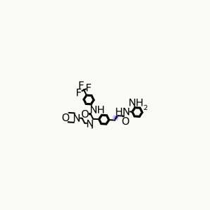 CN(CCN1CCOCC1)C(C(=O)Nc1ccc(C(F)(F)F)cc1)c1ccc(/C=C/C(=O)Nc2ccccc2N)cc1